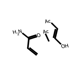 C=CC(N)=O.CC(=O)C=CO.CC(C)=O